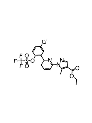 CCOC(=O)c1cnn(C2=NC(c3cc(Cl)ccc3OS(=O)(=O)C(F)(F)F)CC=C2)c1C